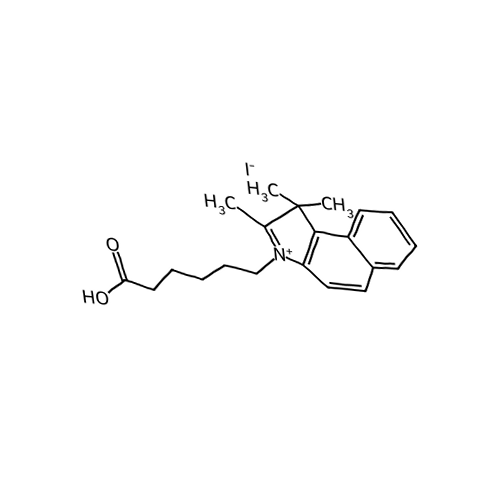 CC1=[N+](CCCCCC(=O)O)c2ccc3ccccc3c2C1(C)C.[I-]